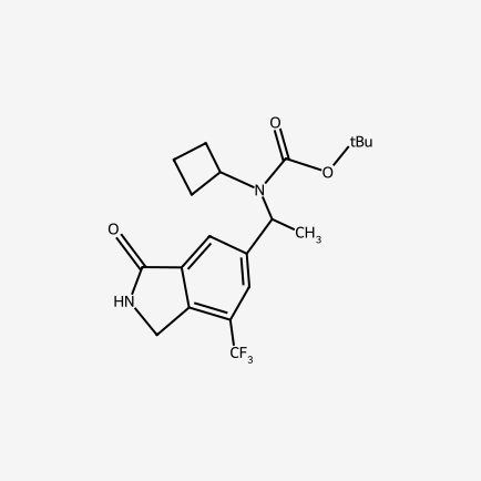 CC(c1cc2c(c(C(F)(F)F)c1)CNC2=O)N(C(=O)OC(C)(C)C)C1CCC1